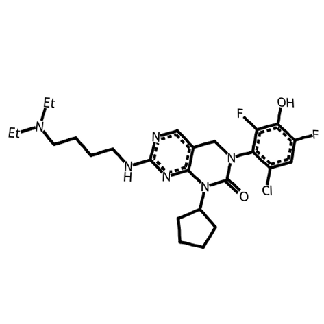 CCN(CC)CCCCNc1ncc2c(n1)N(C1CCCC1)C(=O)N(c1c(Cl)cc(F)c(O)c1F)C2